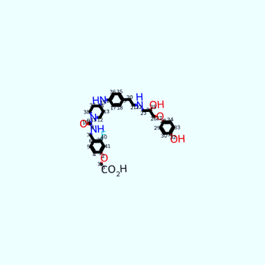 O=C(O)COc1ccc(CNC(=O)N2CCC(Nc3ccc(CCNCC(O)COc4ccc(O)cc4)cc3)CC2)c(F)c1